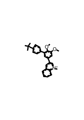 COc1cc(-c2cc3ccccc3[n+](C)c2)cc(-c2ccc(C(C)(C)C)cc2)c1OC